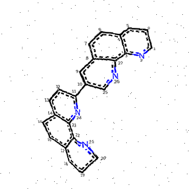 c1cnc2c(c1)ccc1cc(-c3ccc4ccc5cccnc5c4n3)cnc12